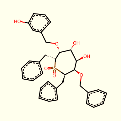 O=S1(=O)[C@H](Cc2ccccc2)[C@H](OCc2ccccc2)[C@H](O)[C@@H](O)[C@@H](OCc2cccc(O)c2)[C@H]1Cc1ccccc1